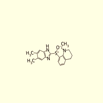 CCN1CCCc2cccc([S+]([O-])c3nc4cc(C)c(C)cc4[nH]3)c21